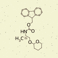 C[C@@H](COC1CCCCO1)NC(=O)OCC1c2ccccc2-c2ccccc21